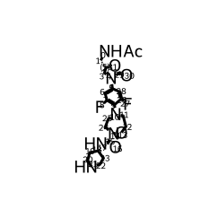 CC(=O)NC[C@H]1CN(c2cc(F)c(N3CCON(C(=O)NC4CCNCC4)CC3)c(F)c2)C(=O)O1